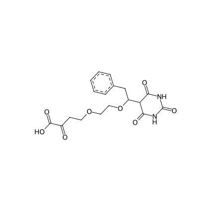 O=C1NC(=O)C(C(Cc2ccccc2)OCCOCCC(=O)C(=O)O)C(=O)N1